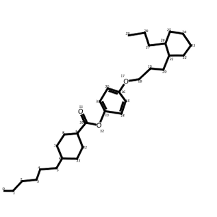 CCCCCCC1CCC(C(=O)Oc2ccc(OCCCC3CCCCC3CCC)cc2)CC1